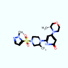 C[C@@H]1COCCN1c1cc(N2CCN(S(=O)(=O)c3ccnn3C)CC2C(F)(F)F)[nH]c(=O)c1